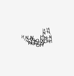 Nc1ncnc2c1ncn2[C@@H]1O[C@H](C(=O)NC(O)N2CCNCCNCCNCC2)[C@@H](O)[C@H]1O